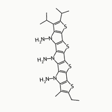 CCc1sc2c3sc4c5sc6c7sc(C(C)C)c(C(C)C)c7n(N)c6c5n(N)c4c3n(N)c2c1C